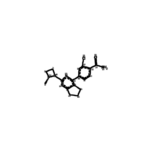 C[C@H]1CCN1c1nc2c(c(-c3ccc(C(N)=O)c(Cl)c3)n1)CCC2